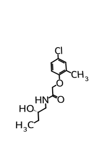 CC[C@H](O)CNC(=O)COc1ccc(Cl)cc1C